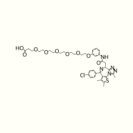 Cc1sc2c(c1C)C(c1ccc(Cl)cc1)=NC(CC(=O)Nc1cccc(OCCOCCOCCOCCOCCOCCC(=O)O)c1)c1nnc(C)n1-2